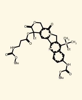 CCC1(OC(=O)CCNC(=O)OC(C)(C)C)C(=O)OCc2c1cc1n(c2=O)Cc2c-1nc1ccc(NC(=O)OC(C)(C)C)cc1c2[Si](C)(C)CC